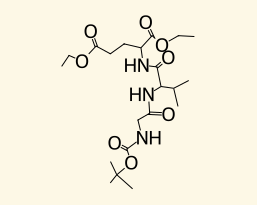 CCOC(=O)CCC(NC(=O)C(NC(=O)CNC(=O)OC(C)(C)C)C(C)C)C(=O)OCC